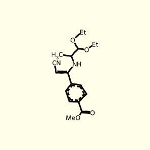 CCOC(OCC)C(C)N/C(=C\C#N)c1ccc(C(=O)OC)cc1